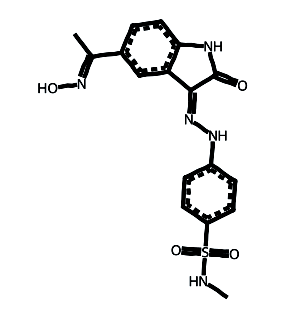 CNS(=O)(=O)c1ccc(NN=C2C(=O)Nc3ccc(C(C)=NO)cc32)cc1